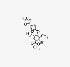 COC(=O)c1ccc(Oc2c(C)cc(S(C)(=O)=O)c(Br)c2C)nc1